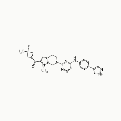 Cn1c(C(=O)N2CC(C)(F)C2)cc2c1CN(c1nncc(Nc3ccc(-c4cn[nH]c4)cc3)n1)CC2